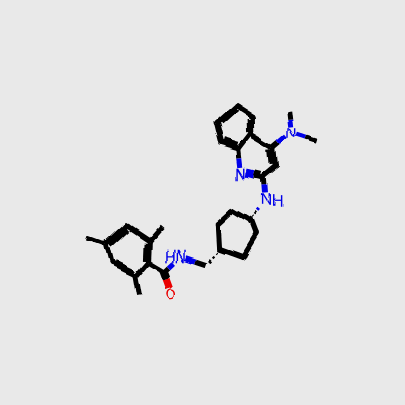 Cc1cc(C)c(C(=O)NC[C@H]2CC[C@@H](Nc3cc(N(C)C)c4ccccc4n3)CC2)c(C)c1